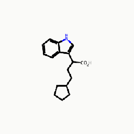 O=C(O)C(CCC1CCCC1)c1c[nH]c2ccccc12